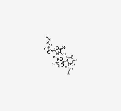 C=CCC[C@@]1(C)O[C@@H]1[C@H]1OC(=O)C(=C)[C@@H]1C[C@H](OC(=O)c1ccccc1CC=C)C(=C)C